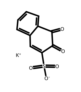 O=C1C(=O)c2ccccc2C=C1S(=O)(=O)[O-].[K+]